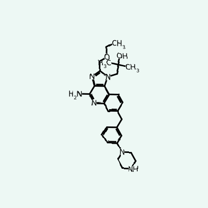 CCOCc1nc2c(N)nc3cc(Cc4cccc(N5CCNCC5)c4)ccc3c2n1CC(C)(C)O